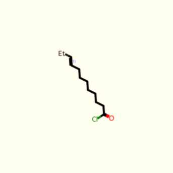 CC/C=C/CCCCCCCC(=O)Cl